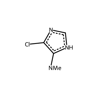 CNc1[nH]cnc1Cl